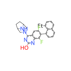 CCc1cccc2cccc(-c3c(F)cc4c(N5CC6CCC(C5)N6)nc(O)nc4c3F)c12